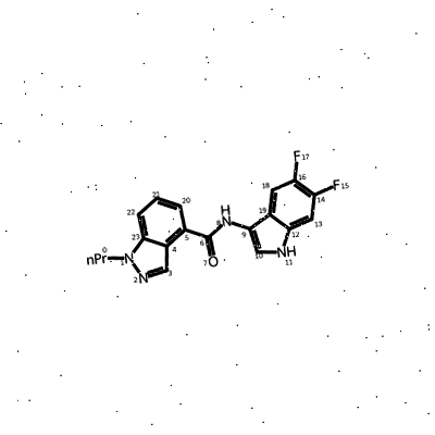 CCCn1ncc2c(C(=O)Nc3c[nH]c4cc(F)c(F)cc34)cccc21